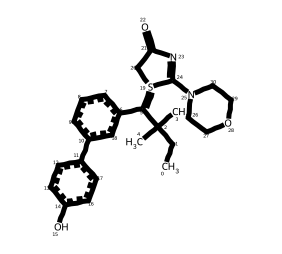 CCC(C)(C)C(c1cccc(-c2ccc(O)cc2)c1)=S1CC(=O)N=C1N1CCOCC1